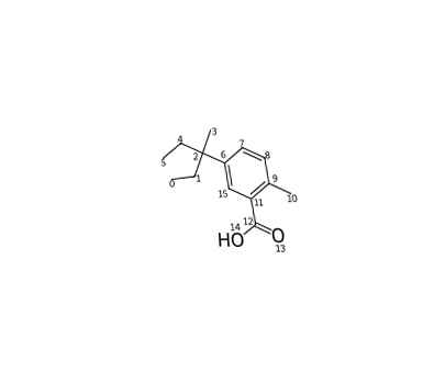 CCC(C)(CC)c1ccc(C)c(C(=O)O)c1